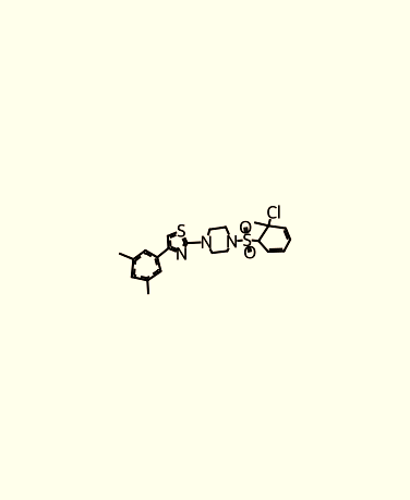 Cc1cc(C)cc(-c2csc(N3CCN(S(=O)(=O)C4C=CC=CC4(C)Cl)CC3)n2)c1